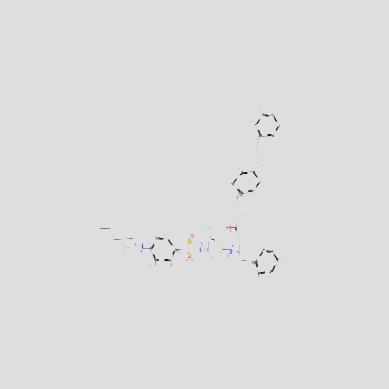 CCCCNc1ccc(S(=O)(=O)N2CC(N(Cc3ccccc3)CC(O)COc3ccc(OCc4ccccc4)cc3)C2)cc1